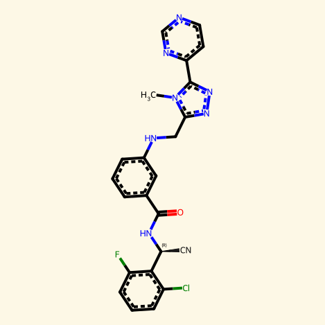 Cn1c(CNc2cccc(C(=O)N[C@@H](C#N)c3c(F)cccc3Cl)c2)nnc1-c1ccncn1